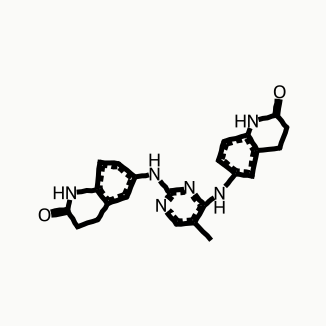 Cc1cnc(Nc2ccc3c(c2)CCC(=O)N3)nc1Nc1ccc2c(c1)CCC(=O)N2